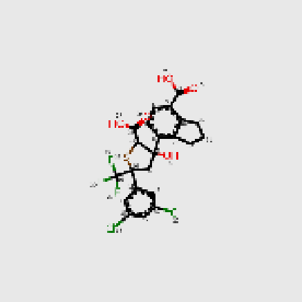 O=C(O)c1ccc(C2(O)CC(c3cc(Cl)cc(Cl)c3)(C(F)(F)F)SC2C(=O)O)c2c1CCC2